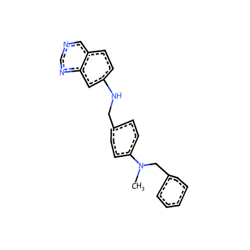 CN(Cc1ccccc1)c1ccc(CNc2ccc3cncnc3c2)cc1